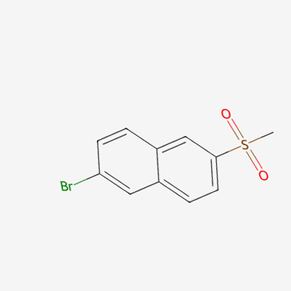 CS(=O)(=O)c1ccc2cc(Br)ccc2c1